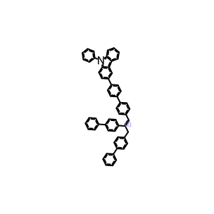 C(=C(\Cc1ccc(-c2ccccc2)cc1)c1ccc(-c2ccccc2)cc1)/c1ccc(-c2ccc(-c3ccc4c(c3)c3ccccc3n4-c3ccccc3)cc2)cc1